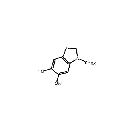 CCCCCCN1CCc2cc(O)c(O)cc21